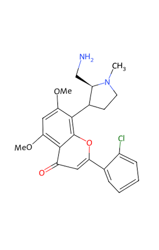 COc1cc(OC)c2c(=O)cc(-c3ccccc3Cl)oc2c1C1CCN(C)[C@@H]1CN